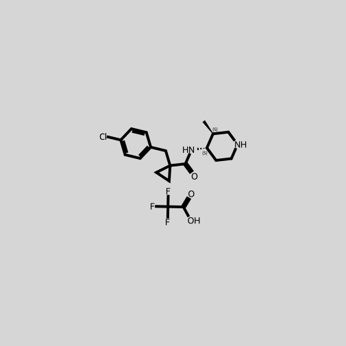 C[C@H]1CNCC[C@@H]1NC(=O)C1(Cc2ccc(Cl)cc2)CC1.O=C(O)C(F)(F)F